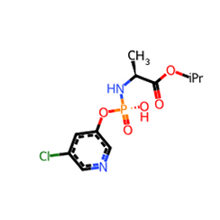 CC(C)OC(=O)[C@H](C)N[P@](=O)(O)Oc1cncc(Cl)c1